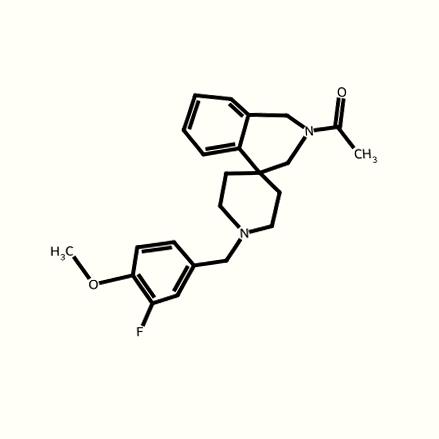 COc1ccc(CN2CCC3(CC2)CN(C(C)=O)Cc2ccccc23)cc1F